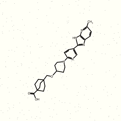 Cc1ccc2nc(-c3ccc(N4CCC(OCC56CCC(C(=O)O)(CC5)CC6)CC4)nc3)[nH]c2n1